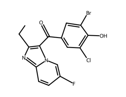 CCc1nc2ccc(F)cn2c1C(=O)c1cc(Cl)c(O)c(Br)c1